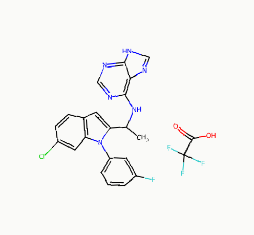 CC(Nc1ncnc2[nH]cnc12)c1cc2ccc(Cl)cc2n1-c1cccc(F)c1.O=C(O)C(F)(F)F